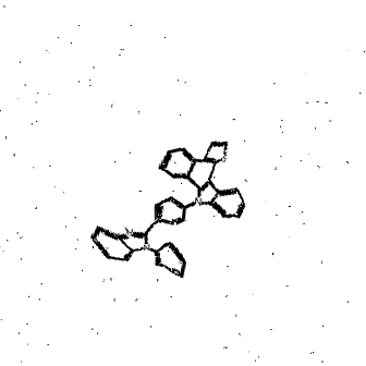 c1ccc(-n2c(-c3ccc(-n4c5ccccc5c5c6sccc6c6ccccc6c54)cc3)nc3ccccc32)cc1